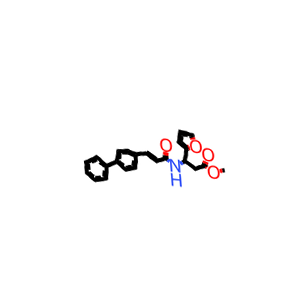 COC(=O)CC(NC(=O)/C=C/c1ccc(-c2ccccc2)cc1)c1ccco1